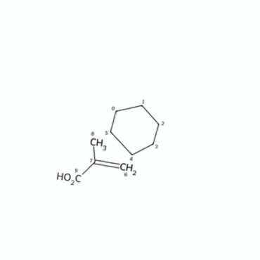 C1CCCCC1.C=C(C)C(=O)O